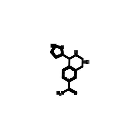 Cl.NC(=O)c1ccc2c(c1)CCNC2c1cc[nH]n1